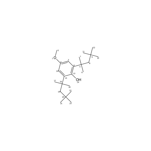 COc1cc(C(C)(C)CC(C)(C)C)c(O)c(C(C)(C)CC(C)(C)C)c1